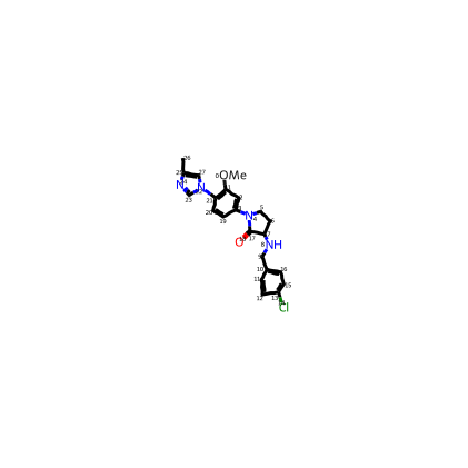 COc1cc(N2CCC(NCc3ccc(Cl)cc3)C2=O)ccc1-n1cnc(C)c1